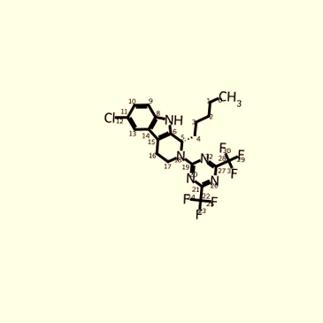 CCCCC[C@H]1c2[nH]c3ccc(Cl)cc3c2CCN1c1nc(C(F)(F)F)nc(C(F)(F)F)n1